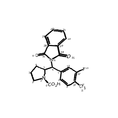 O=C(O)N1CCCC1C(c1ccc(C(F)(F)F)c(F)c1)N1C(=O)c2ccccc2C1=O